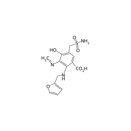 C=Nc1c(O)c(CS(N)(=O)=O)cc(C(=O)O)c1NCc1ccco1